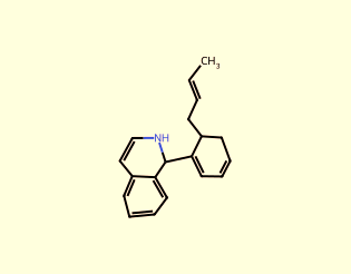 CC=CCC1CC=CC=C1C1NC=Cc2ccccc21